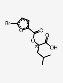 CC(C)C[C@@H](OC(=O)c1ccc(Br)o1)C(=O)O